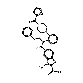 Cc1c(C(=O)O)oc2ccc([S+]([O-])N(CCc3ccccc3)c3ccccc3N3CCN(C(=O)c4ccc[nH]4)CC3)cc12